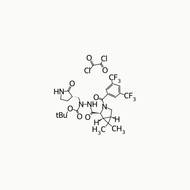 CC(C)(C)OC(=O)N(C[C@@H]1CCNC1=O)NC(=O)[C@@H]1[C@@H]2[C@H](CN1C(=O)c1cc(C(F)(F)F)cc(C(F)(F)F)c1)C2(C)C.O=C(Cl)C(=O)Cl